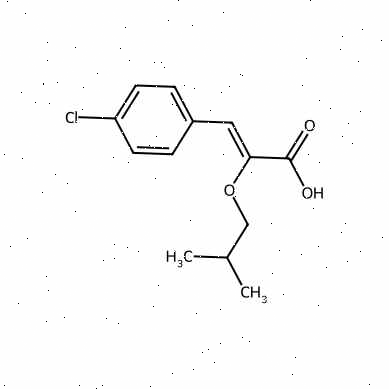 CC(C)COC(=Cc1ccc(Cl)cc1)C(=O)O